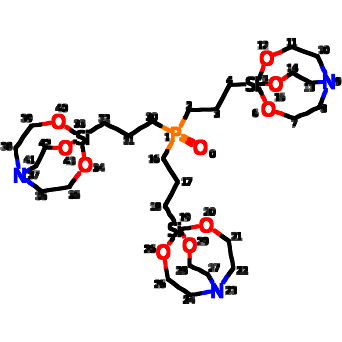 O=P(CCC[Si]12OCCN(CCO1)CCO2)(CCC[Si]12OCCN(CCO1)CCO2)CCC[Si]12OCCN(CCO1)CCO2